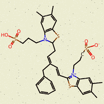 Cc1cc2c(cc1C)N(CCCS(=O)(=O)O)C(CC=C(C=Cc1sc3cc(C)c(C)cc3[n+]1CCCS(=O)(=O)[O-])Cc1ccccc1)S2